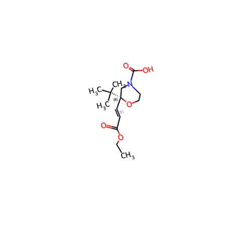 CCOC(=O)/C=C/[C@@]1(C(C)(C)C)CN(C(=O)O)CCO1